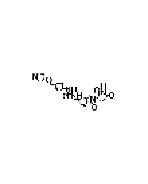 O=C1CCC(N2Cc3cc(CNC(=O)Nc4ccc(COc5ccncc5)cc4)ccc3C2=O)C(=O)N1